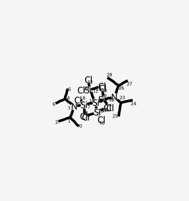 CC(C)N(C(C)C)[Si](Cl)(Cl)[Si]([Si](Cl)(Cl)Cl)([Si](Cl)(Cl)Cl)[Si](Cl)(Cl)N(C(C)C)C(C)C